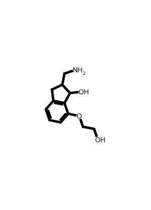 NCC1Cc2cccc(OCCO)c2C1O